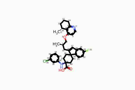 C[C@@H](COc1ccnc2c1[C@H](C)CCC2)CC1=Cc2cc(F)ccc2C12CCC(Nc1cccc(Cl)c1)(C(=O)O)CC2